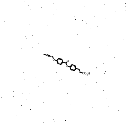 CC#CCOc1ccc(C(=O)Oc2ccc(/C=C/C(=O)O)cc2)cc1